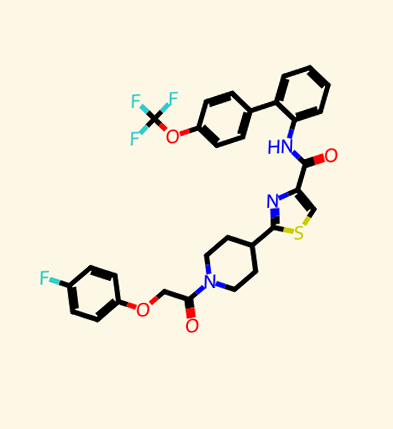 O=C(Nc1ccccc1-c1ccc(OC(F)(F)F)cc1)c1csc(C2CCN(C(=O)COc3ccc(F)cc3)CC2)n1